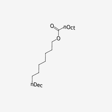 CCCCCCCCCCCCCCCCCOC(=O)CCCCCCCC